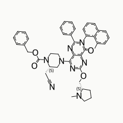 Cc1cccc2cccc(-n3c(-c4ccccc4)nc4c(N5CCN(C(=O)OCc6ccccc6)[C@@H](CC#N)C5)nc(OC[C@@H]5CCCN5C)nc4c3=O)c12